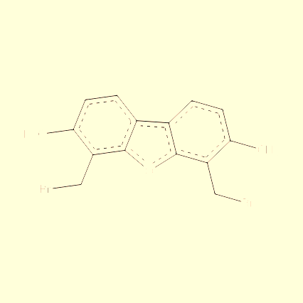 Cc1ccc2c(oc3c(CBr)c(C)ccc32)c1CBr